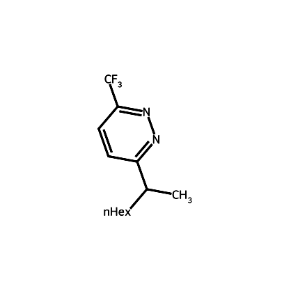 CCCCCCC(C)c1ccc(C(F)(F)F)nn1